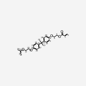 C=CC(=O)OCCOc1ccc(C(C)(C)c2ccc(OCCOC(C)=S)cc2)cc1